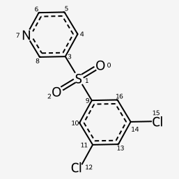 O=S(=O)(c1cccnc1)c1cc(Cl)cc(Cl)c1